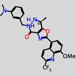 COc1ccc(-c2nc(C(=O)NCc3cccc(N(C)C)c3)c([C@H](C)N)o2)c2ccc(C(F)(F)F)nc12